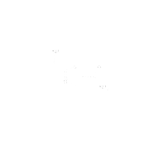 [NH]Cc1ncc(C(N)=O)s1